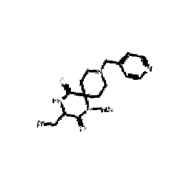 CCCCN1C(=O)C(CC(C)C)NC(=O)C12CCN(Cc1ccncc1)CC2